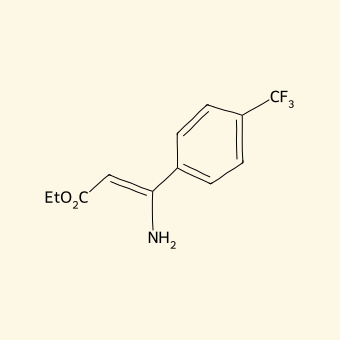 CCOC(=O)C=C(N)c1ccc(C(F)(F)F)cc1